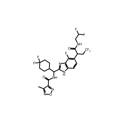 Cc1nonc1C(=O)NC(c1nc2c(F)c(C(CC(F)(F)F)C(=O)NCC(F)F)ccc2[nH]1)C1CCC(F)(F)CC1